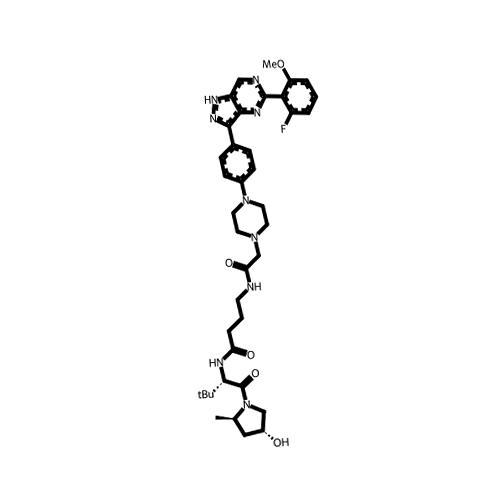 COc1cccc(F)c1-c1ncc2[nH]nc(-c3ccc(N4CCN(CC(=O)NCCCC(=O)N[C@H](C(=O)N5C[C@H](O)C[C@H]5C)C(C)(C)C)CC4)cc3)c2n1